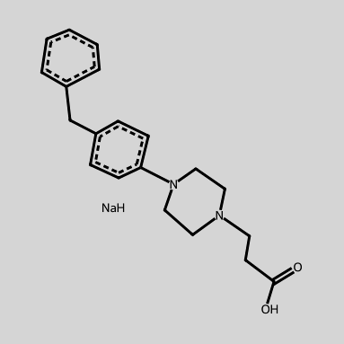 O=C(O)CCN1CCN(c2ccc(Cc3ccccc3)cc2)CC1.[NaH]